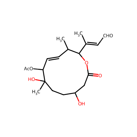 CC(=O)OC1/C=C/C(C)C(/C(C)=C/C=O)OC(=O)CC(O)CCC1(C)O